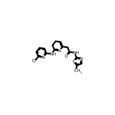 Cc1cnc(NC(=O)CC2=CCCC(Nc3cccc(Cl)n3)=N2)s1